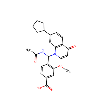 COc1cc(C(=O)O)ccc1C(NC(C)=O)n1ccc(=O)c2ccc(C3CCCC3)cc21